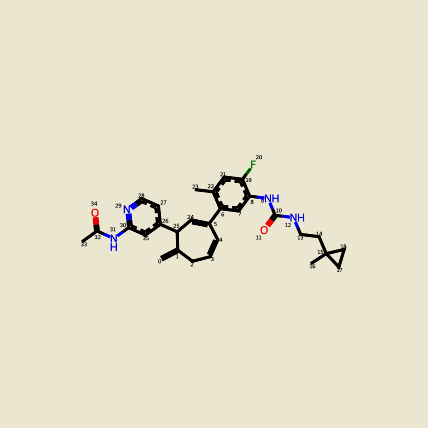 C=C1CC=CC(c2cc(NC(=O)NCCC3(C)CC3)c(F)cc2C)=CC1c1ccnc(NC(C)=O)c1